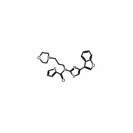 O=C(c1cccs1)N(CCCN1CCOCC1)c1nc(-c2coc3ccccc23)cs1